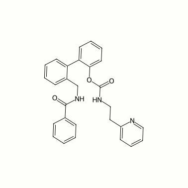 O=C(NCCc1ccccn1)Oc1ccccc1-c1ccccc1CNC(=O)c1ccccc1